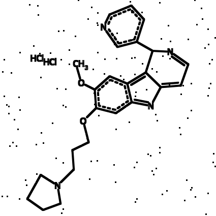 COc1cc2c(cc1OCCCN1CCCC1)=NC1=CC=NC(c3cccnc3)C=21.Cl.Cl